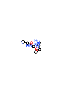 O=C(Nc1cccc(Nc2nc(-c3cccc4c3oc3ccccc34)cc3ccnn23)c1)c1ccc(C2CCCNC2)cc1